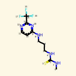 CNC(=S)NCCCNc1ccnc(C(F)(F)F)n1